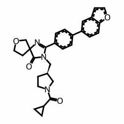 O=C(C1CC1)N1CC[C@@H](CN2C(=O)C3(CCOC3)N=C2c2ccc(-c3ccc4occc4c3)cc2)C1